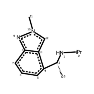 CC(C)N[C@H](C)c1cccc2nn(C)cc12